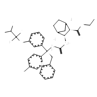 CCOC(=O)[C@@H]1[C@@H]2CC[C@@H](C2)[C@@H]1NC(=O)N[C@@](Cc1ccccc1)(c1cccc(OC(F)(F)C(F)F)c1)c1ccc(Cl)cn1